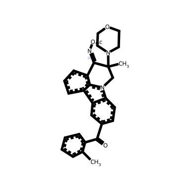 CC(=O)O/N=C1/c2cccc3c4cc(C(=O)c5ccccc5C)ccc4n(c23)CC1(C)N1CCOCC1